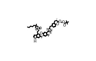 CCCCCC(C)(C)CS(=O)(=O)CCc1c(Oc2ccc(F)c(-c3nc(Cc4cccc(C[C@H](C)C(=O)OCOC(=O)C(C)(C)C)c4)nn3C)c2)c(F)cc2[nH]ccc12